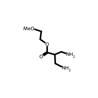 COCCOC(=O)C(CN)CN